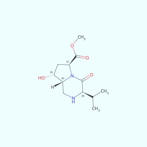 COC(=O)[C@@H]1C[C@@H](O)[C@H]2CN[C@H](C(C)C)C(=O)N21